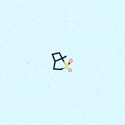 CC12CCC1CCS2(=O)=O